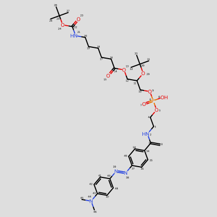 C=C(NCCOP(=O)(O)OCC(COC(=O)CCCCCNC(=O)OC(C)(C)C)OC(C)(C)C)c1ccc(N=Nc2ccc(N(C)C)cc2)cc1